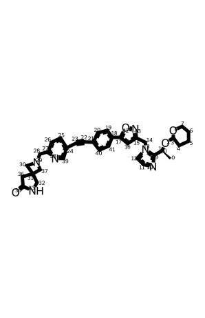 C[C@H](OC1CCCCO1)c1nccn1Cc1cc(-c2ccc(C#Cc3ccc(CN4CC5(CNC(=O)C5)C4)nc3)cc2)on1